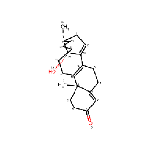 CC12CCC(=O)C=C1CCC1=C2CCC23C1=CC[C@@]2(C)CC[C@@H]3O